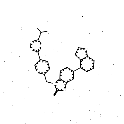 O=c1[nH]c2cc(-c3cccc4[nH]ccc34)ccc2n1Cc1ccc(-c2nnc(C(F)F)o2)cn1